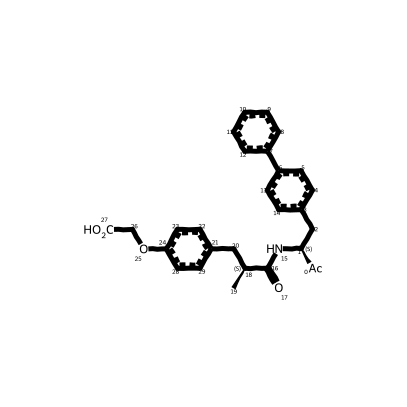 CC(=O)[C@H](Cc1ccc(-c2ccccc2)cc1)NC(=O)[C@@H](C)Cc1ccc(OCC(=O)O)cc1